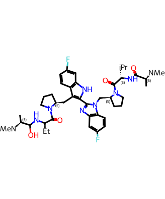 CCC(NC(O)[C@H](C)NC)C(=O)N1CCC[C@H]1Cc1c(-c2nc3cc(F)ccc3n2C[C@@H]2CCCN2C(=O)[C@@H](NC(=O)[C@H](C)NC)C(C)C)[nH]c2cc(F)ccc12